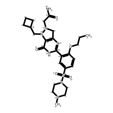 CCCOc1ccc(S(=O)(=O)N2CCN(C)CC2)cc1-c1nc2c(c(=O)[nH]1)N(CC1CCC1)N(CC(N)=O)C2